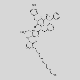 C#CCOCCOCCOCCNC(=O)[C@H](CC(=O)O)NC(=O)[C@H](CC(=O)O)NC(=O)[C@H](Cc1ccccc1)NC(=O)[C@H](Cc1ccc(O)cc1)NC(=O)[C@@H](N)Cc1ccccc1